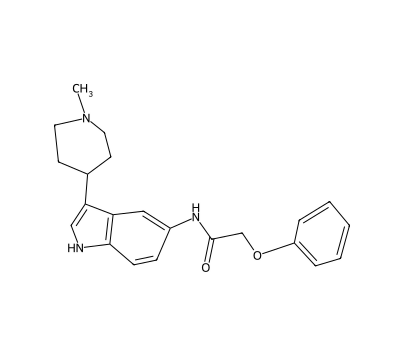 CN1CCC(c2c[nH]c3ccc(NC(=O)COc4ccccc4)cc23)CC1